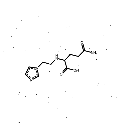 NC(=O)CC[C@H](NCCn1ccnc1)C(=O)O